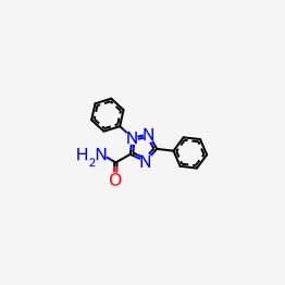 NC(=O)c1nc(-c2ccccc2)nn1-c1ccccc1